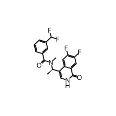 C[C@H](c1c[nH]c(=O)c2cc(F)c(F)cc12)N(C)C(=O)c1cccc(C(F)F)c1